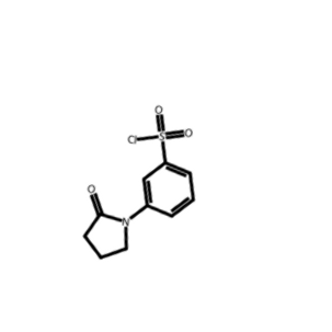 O=C1CCCN1c1cccc(S(=O)(=O)Cl)c1